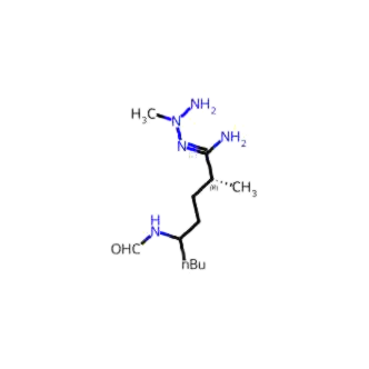 CCCCC(CC[C@@H](C)/C(N)=N/N(C)N)NC=O